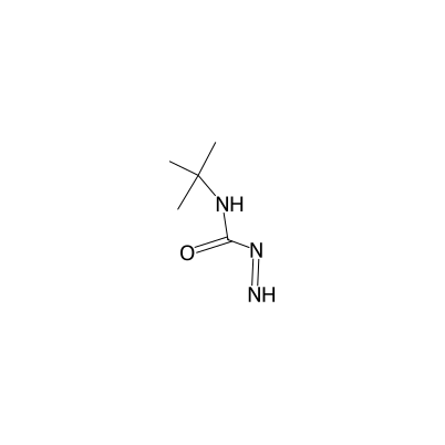 CC(C)(C)NC(=O)N=N